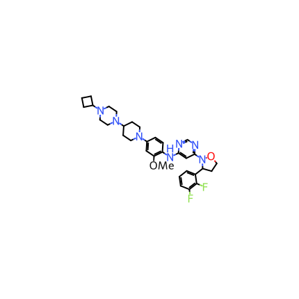 COc1cc(N2CCC(N3CCN(C4CCC4)CC3)CC2)ccc1Nc1cc(N2OCCC2c2cccc(F)c2F)ncn1